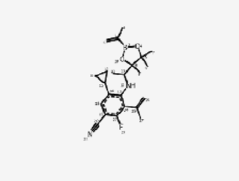 C=C(C)B1OC(C)(C)C(C)(C(C)Nc2c(C3CC3)cc(C#N)c(F)c2C(=C)C)O1